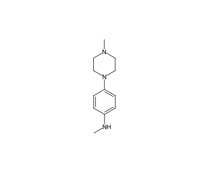 CNc1ccc(N2CCN(C)CC2)cc1